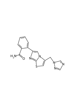 NC(=O)c1ccccc1-c1cn2c(Cn3cncn3)csc2n1